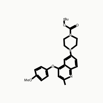 COc1ccc(Oc2cc(C)nc3ccc(N4CCN(C(=O)OC(C)(C)C)CC4)cc23)cc1